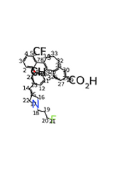 Cc1cccc(C(F)(F)F)c1C1=C(c2ccc(C=C3CN(CCCF)C3)cc2)c2ccc(C(=O)O)cc2CCC1